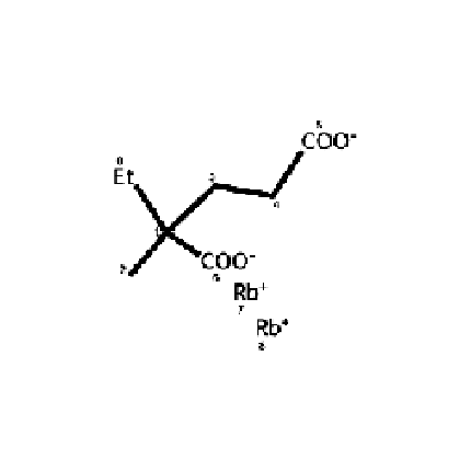 CCC(C)(CCC(=O)[O-])C(=O)[O-].[Rb+].[Rb+]